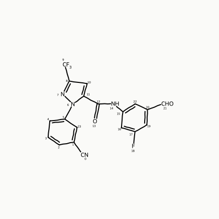 N#Cc1cccc(-n2nc(C(F)(F)F)cc2C(=O)Nc2cc(F)cc(C=O)c2)c1